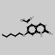 CCCCCOc1ccc2ccc(=O)oc2c1.O=CCl